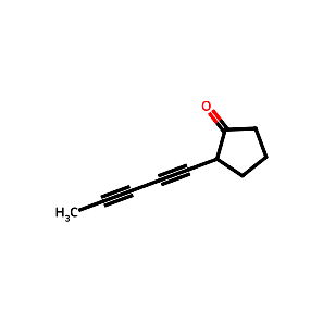 CC#CC#CC1CCCC1=O